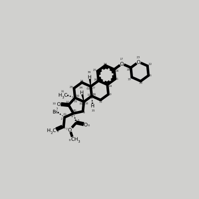 C=C[C@H](Br)[C@]1(C(=O)OC)C[C@H]2[C@@H]3CCc4cc(OC5CCCCO5)ccc4[C@H]3CC[C@]2(C)C1=O